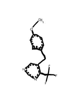 COc1ccc(Cc2cncnc2C(F)(F)F)cc1